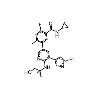 CCn1cc(-c2cc(-c3cc(C(=O)NC4CC4)c(F)cc3C)cnc2N[C@@H](C)CO)cn1